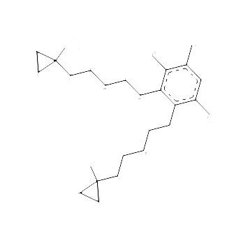 Cc1cc(C)c(CCCCCC2(C(=O)O)CC2)c(CCCCCC2(C(=O)O)CC2)c1C